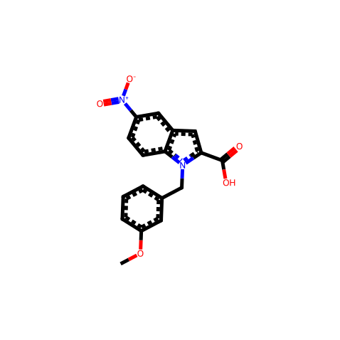 COc1cccc(Cn2c(C(=O)O)cc3cc([N+](=O)[O-])ccc32)c1